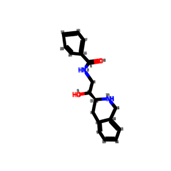 O=C(NCC(O)[C@@H]1Cc2ccccc2CN1)c1ccccc1